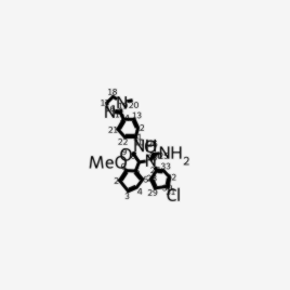 COc1ccccc1C(C(=O)Nc1ccc(C2=NCCN2C)cc1)N(C(N)=O)c1ccc(Cl)cc1